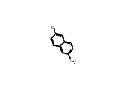 CCOC(=O)c1cc2ccc(Cl)cc2cn1